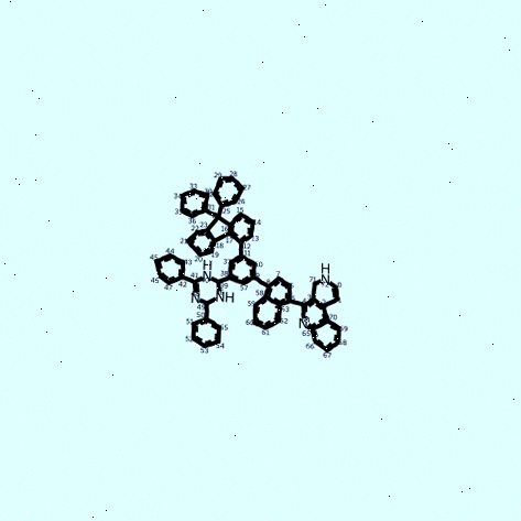 C1=Cc2c(c(-c3ccc(-c4cc(-c5cccc6c5-c5ccccc5C6(c5ccccc5)c5ccccc5)cc(C5NC(c6ccccc6)=NC(c6ccccc6)N5)c4)c4ccccc34)nc3ccccc23)CN1